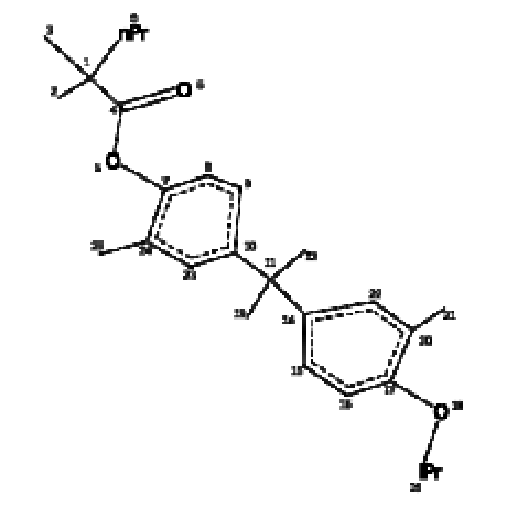 CCCC(C)(C)C(=O)Oc1ccc(C(C)(C)c2ccc(OC(C)C)c(C)c2)cc1C